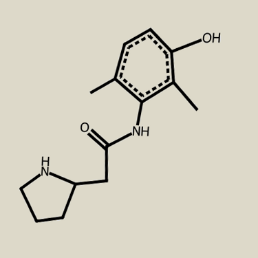 Cc1ccc(O)c(C)c1NC(=O)CC1CCCN1